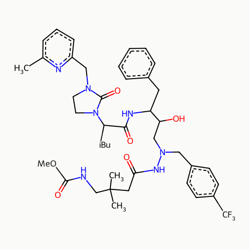 CCC(C)C(C(=O)NC(Cc1ccccc1)C(O)CN(Cc1ccc(C(F)(F)F)cc1)NC(=O)CC(C)(C)CNC(=O)OC)N1CCN(Cc2cccc(C)n2)C1=O